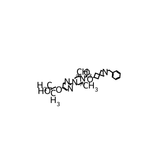 C[C@@H]1CN(c2ncc(OCC(C)(C)O)cn2)C[C@H](C)N1C(=O)OC1CC2(C1)CN(Cc1ccccc1)C2